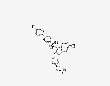 O=C(O)c1ccc(Cc2cc3cc(Cl)ccc3n2S(=O)(=O)c2ccc(-c3ccc(F)cc3)cc2)cc1